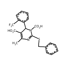 CC1=C(C(=O)O)C(c2ccccc2C(F)(F)F)N(C(=O)O)C(SCc2ccccc2)=N1